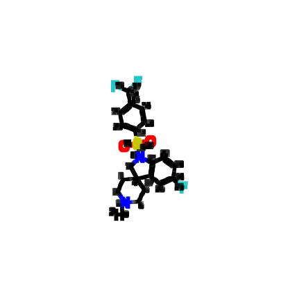 [2H]N1CCC2(CC1)CN(S(=O)(=O)c1ccc(C(F)F)cc1)c1ccc(F)cc12